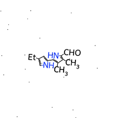 CCc1c[nH]c(-c2[nH]c(C=O)c(C)c2C)c1